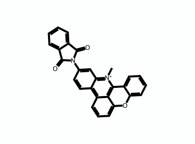 C[n+]1c2c3c(cccc3c3ccc(N4C(=O)c5ccccc5C4=O)cc31)Oc1ccccc1-2